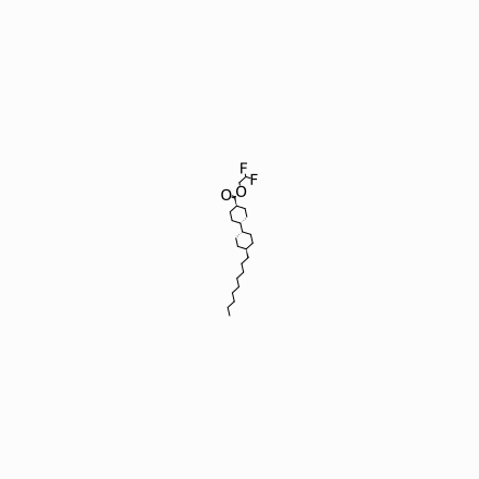 CCCCCCCCC[C@H]1CC[C@H]([C@H]2CC[C@H](C(=O)OCC(F)F)CC2)CC1